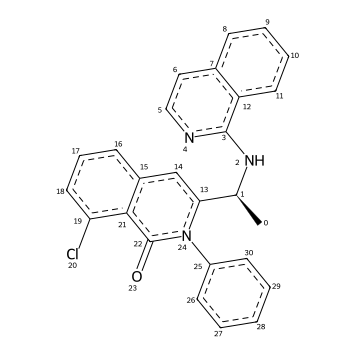 C[C@H](Nc1nccc2ccccc12)c1cc2cccc(Cl)c2c(=O)n1-c1ccccc1